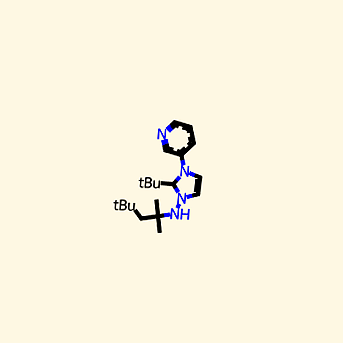 CC(C)(C)CC(C)(C)NN1C=CN(c2cccnc2)C1C(C)(C)C